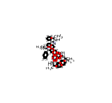 CC(C)N/C(=N/c1cc(/N=C(/NC(C)C)P(c2ccccc2)c2ccccc2)cc(-c2cc(/N=C(/NC(C)C)P(c3ccccc3)c3ccccc3)cc(/N=C(/NC(C)C)P(c3ccccc3)c3ccccc3)c2)c1)P(c1ccccc1)c1ccccc1